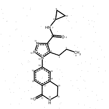 CCCc1c(C(=O)NC2CC2)nnn1-c1ccc2c(c1)CCNC2=O